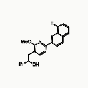 COc1nc(-c2ccc3cccc(F)c3c2)ccc1CC(O)C(C)C